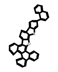 c1ccc2c(-c3ccc4c(c3)sc3c4ccc4c3oc3c4c4ccccc4c4c5ccccc5c5ccccc5c34)cccc2c1